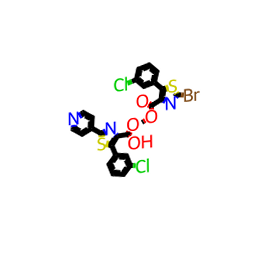 COC(=O)c1nc(Br)sc1-c1cccc(Cl)c1.O=C(O)c1nc(-c2ccncc2)sc1-c1cccc(Cl)c1